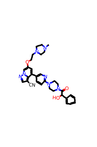 CN1CCN(CCOc2cc(-c3ccc(N4CCN(C(=O)C(O)c5ccccc5)CC4)nc3)c3c(C#N)cnn3c2)CC1